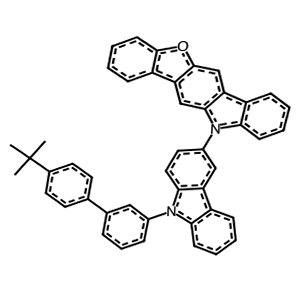 CC(C)(C)c1ccc(-c2cccc(-n3c4ccccc4c4cc(-n5c6ccccc6c6cc7oc8ccccc8c7cc65)ccc43)c2)cc1